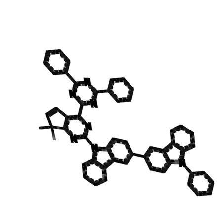 CC1(C)C=Cc2c(-c3nc(-c4ccccc4)nc(-c4ccccc4)n3)nc(-n3c4ccccc4c4cc(-c5ccc6c(c5)c5ccccc5n6-c5ccccc5)ccc43)nc21